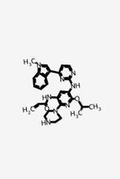 C=CC(=O)Nc1cc(Nc2nccc(-c3cn(C)c4ccccc34)n2)c(OC(C)C)nc1N1CCNCC1